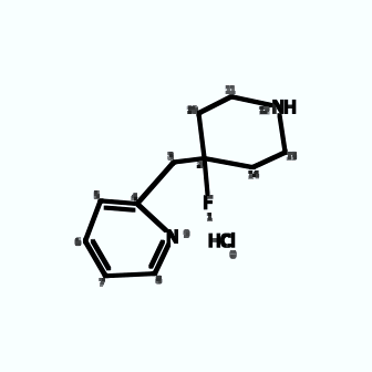 Cl.FC1(Cc2ccccn2)CCNCC1